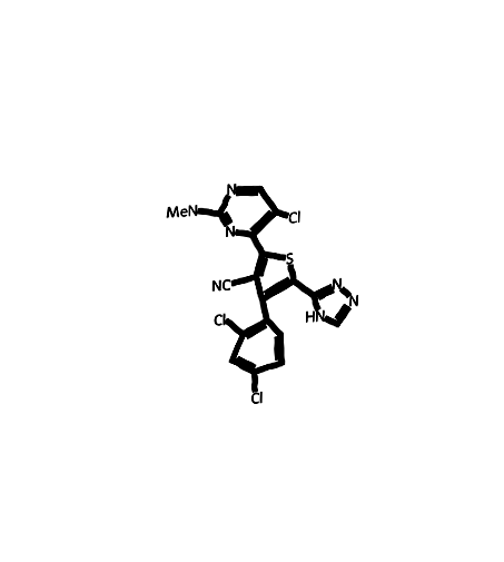 CNc1ncc(Cl)c(-c2sc(-c3nnc[nH]3)c(-c3ccc(Cl)cc3Cl)c2C#N)n1